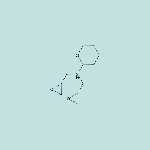 C1CCC([SiH](CC2CO2)CC2CO2)OC1